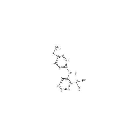 NCc1ccc(Oc2ccccc2C(F)(F)F)cc1